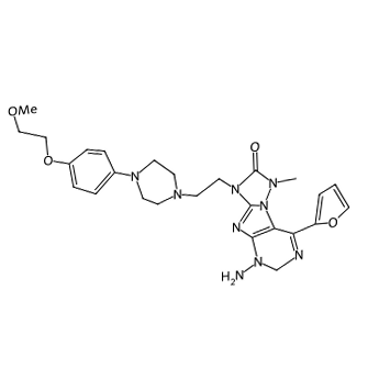 COCCOc1ccc(N2CCN(CCn3c(=O)n(C)n4c5c(nc34)N(N)CN=C5c3ccco3)CC2)cc1